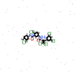 Cc1ccc(NC(=O)c2cc(NC(=O)[C@@H]3[C@@H](c4cc(Cl)cc(Cl)c4)C3(Cl)Cl)ccc2Cl)cc1Cl